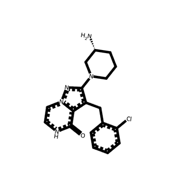 N[C@@H]1CCCN(c2nn3cc[nH]c(=O)c3c2Cc2ccccc2Cl)C1